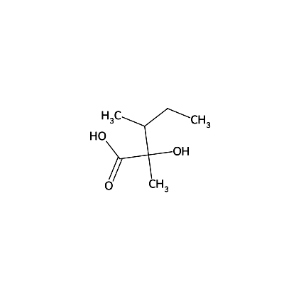 CCC(C)C(C)(O)C(=O)O